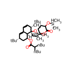 CCCCC(CCCC)C(=O)O[C@H]1C[C@H](C(C)(C)C)C=C2C=C[C@H](C)[C@](CC[C@@H]3C[C@H](C(C)(C)C)C(O[SiH](C)C)C(=O)O3)(O[SiH](C)C)[C@H]21